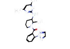 Cc1cc(C)nc(NC2CCCN(C(=O)c3ccccc3-n3nccn3)C2C)n1